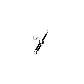 [La].[O]=[La][Cl]